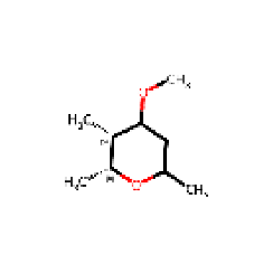 COC1CC(C)O[C@H](C)[C@@H]1C